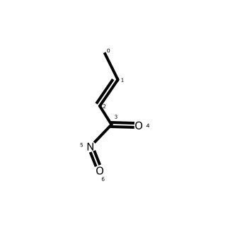 C/C=C/C(=O)N=O